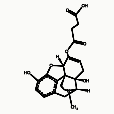 CN1CC[C@@]23c4c5ccc(O)c4O[C@@H]2C(OC(=O)CCC(=O)O)=CC[C@]3(O)[C@@H]1C5